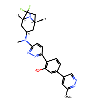 COc1cc(-c2ccc(-c3ccc(N(C)[C@@H]4C[C@H]5CC(F)(F)[C@@H](C4)N5)nn3)c(O)c2)cnn1